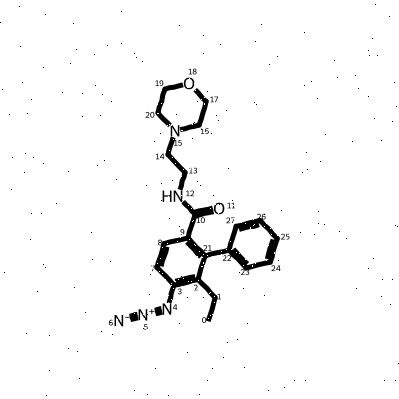 CCc1c(N=[N+]=[N-])ccc(C(=O)NCCN2CCOCC2)c1-c1ccccc1